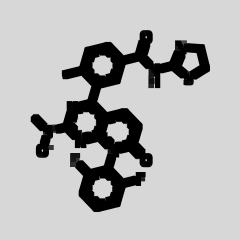 Cc1ccc(C(=O)NC2=NCCS2)cc1-c1nc([S+](C)[O-])nc2c1ccc(=O)n2-c1c(F)cccc1F